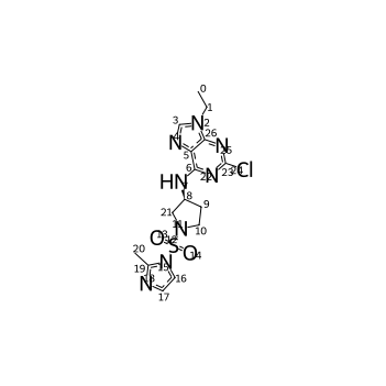 CCn1cnc2c(N[C@H]3CCN(S(=O)(=O)n4ccnc4C)C3)nc(Cl)nc21